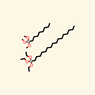 CCCCCCCCCCCCCCCC[Si](OCC)(OCC)OCC.CCCCCCCC[Si](OC)(OC)OC